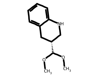 COC(OC)[C@H]1CNc2ccccc2C1